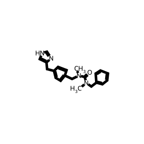 CN(Cc1ccccc1)C(=O)N(C)Cc1ccc(Cc2c[nH]cn2)cc1